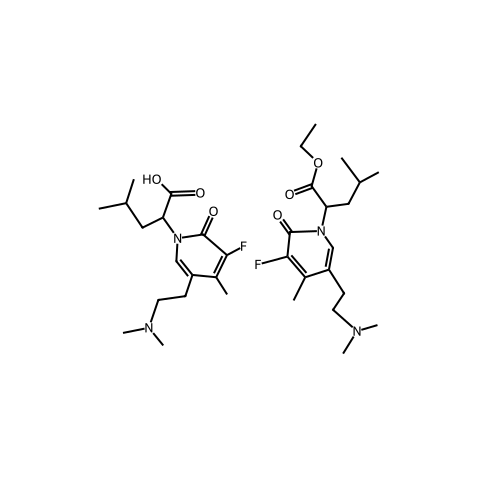 CCOC(=O)C(CC(C)C)n1cc(CCN(C)C)c(C)c(F)c1=O.Cc1c(CCN(C)C)cn(C(CC(C)C)C(=O)O)c(=O)c1F